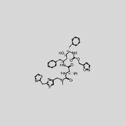 CC(C)[C@H](NC(=O)N(C)Cc1csc(Cc2nccs2)n1)C(=O)N[C@@H](Cc1ccccc1)C[C@H](O)[C@H](Cc1ccccc1)NC(=O)OCc1ccno1